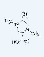 CC1CN(C)C(C(=O)O)CN1C